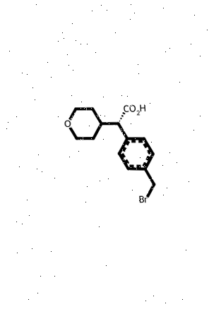 O=C(O)[C@H](c1ccc(CBr)cc1)C1CCOCC1